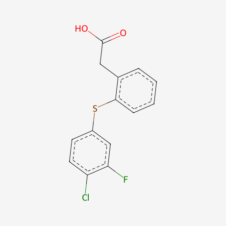 O=C(O)Cc1ccccc1Sc1ccc(Cl)c(F)c1